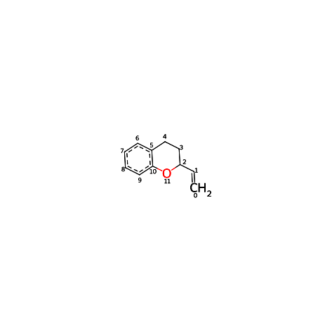 C=CC1CCc2ccccc2O1